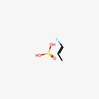 CC=CF.O=S(O)O